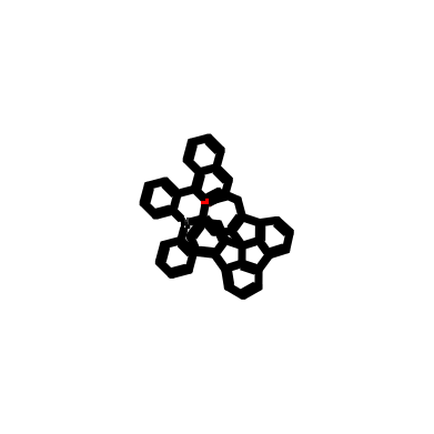 C1#CC(N(c2ccccc2)c2ccccc2C2=c3ccccc3=CCC2)=CC2=C(C1)c1cccc3c1C21c2ccccc2-c2cccc-3c21